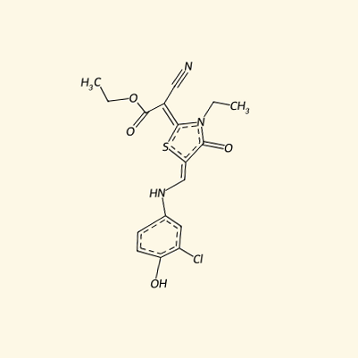 CCOC(=O)C(C#N)=c1sc(=CNc2ccc(O)c(Cl)c2)c(=O)n1CC